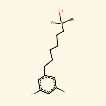 CC(C)[Si](O)(CCCCCCc1cc(F)cc(F)c1)C(C)C